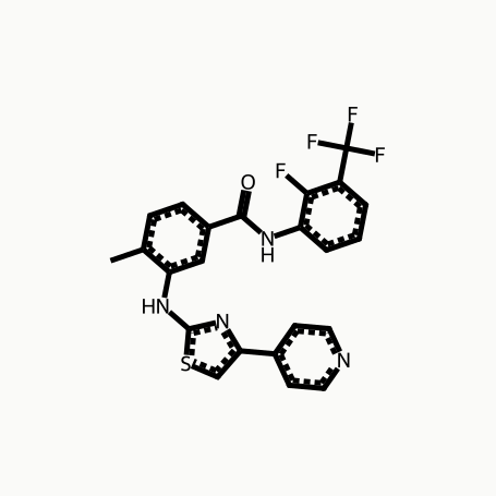 Cc1ccc(C(=O)Nc2cccc(C(F)(F)F)c2F)cc1Nc1nc(-c2ccncc2)cs1